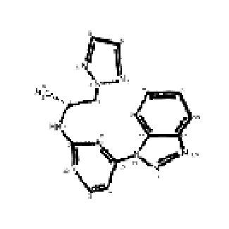 C[C@H](Cn1nccn1)Nc1nccc(-n2nnc3ccccc32)n1